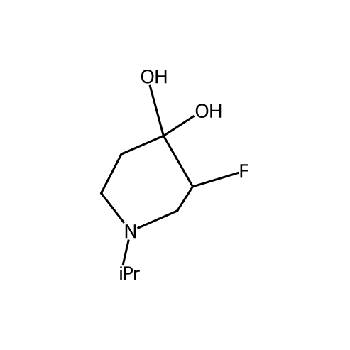 CC(C)N1CCC(O)(O)C(F)C1